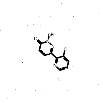 CCCn1nc(-c2ncccc2Cl)ccc1=O